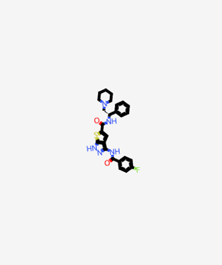 O=C(Nc1n[nH]c2sc(C(=O)N[C@H](CN3CCCCC3)c3ccccc3)cc12)c1ccc(F)cc1